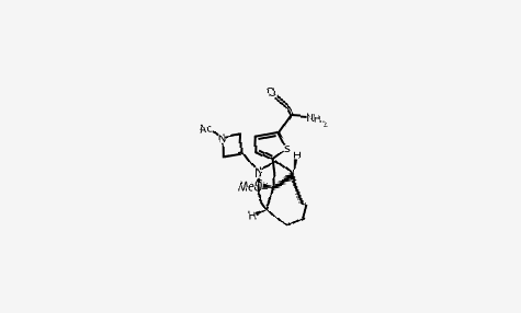 CO[C@]1(c2ccc(C(N)=O)s2)[C@@H]2CCC[C@H]1CN(C1CN(C(C)=O)C1)C2